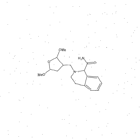 COC1CC(CN2CCc3c[c]ccc3C2C(N)=O)C(OC)O1